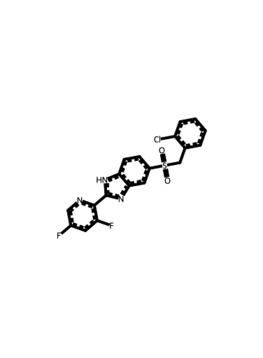 O=S(=O)(Cc1ccccc1Cl)c1ccc2[nH]c(-c3ncc(F)cc3F)nc2c1